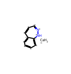 C1=Cc2ccccc2NN=C1.[CaH2]